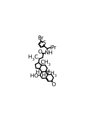 CC(C)C(NC(=O)C[C@@H](C)C1CC[C@H]2[C@@H]3[C@H](O)CC4=CC(=O)CC[C@]4(C)[C@H]3CC[C@]12C)c1ccc(Br)s1